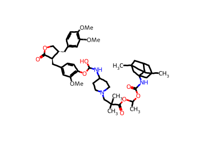 COc1ccc(C[C@H]2COC(=O)[C@@H]2Cc2ccc(OC(O)NC3CCN(CC(C)(C)C(=O)OC(C)OC(=O)NC45CC6CC(C)(CC(C)(C6)C4)C5)CC3)c(OC)c2)cc1OC